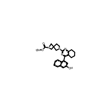 CC(C)(C)OC(=O)N1CC2(CCN(c3nc4c(c(-c5cc(O)cc6ccccc56)n3)CCCC4)C2)C1